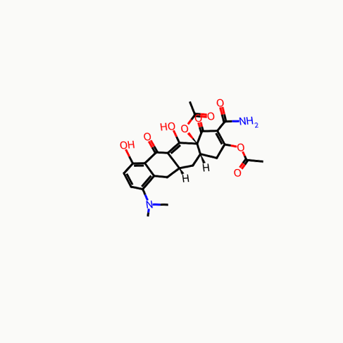 CC(=O)OC1=C(C(N)=O)C(=O)[C@@]2(OC(C)=O)C(O)=C3C(=O)c4c(O)ccc(N(C)C)c4C[C@H]3C[C@H]2C1